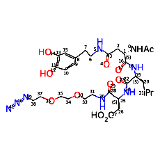 CC(=O)N[C@@H](CC(=O)NCCc1ccc(O)c(O)c1)C(=O)N[C@@H](CC(C)C)C(=O)N[C@@H](CC(=O)O)C(=O)NCCOCCOCCN=[N+]=[N-]